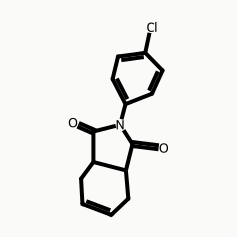 O=C1C2CC=CCC2C(=O)N1c1ccc(Cl)cc1